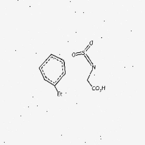 CCc1ccccc1.O=C(O)CN=S(=O)=O